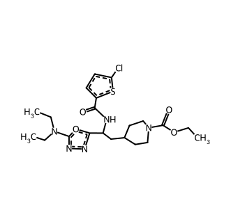 CCOC(=O)N1CCC(CC(NC(=O)c2ccc(Cl)s2)c2nnc(N(CC)CC)o2)CC1